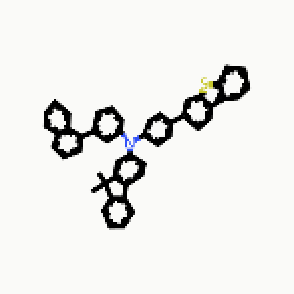 CC1(C)c2ccccc2-c2ccc(N(c3ccc(-c4ccc5c(c4)sc4ccccc45)cc3)c3cccc(-c4cccc5ccccc45)c3)cc21